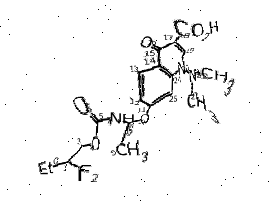 CCC(F)COC(=O)NC(C)Oc1ccc2c(=O)c(C(=O)O)cn(N(C)C)c2c1